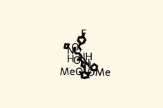 COc1cccc(OC)c1-c1cc(C(=O)N[C@@H](CCc2ccc(F)cc2)CC(=O)NC2CCC2)nn1C1CCCC1